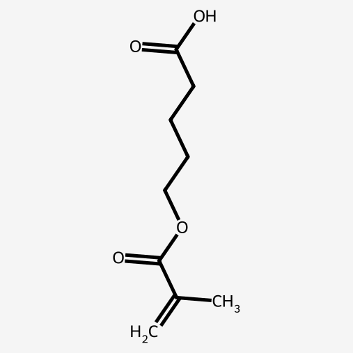 C=C(C)C(=O)OCCCCC(=O)O